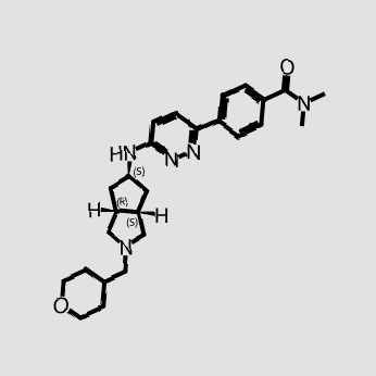 CN(C)C(=O)c1ccc(-c2ccc(N[C@H]3C[C@@H]4CN(CC5CCOCC5)C[C@@H]4C3)nn2)cc1